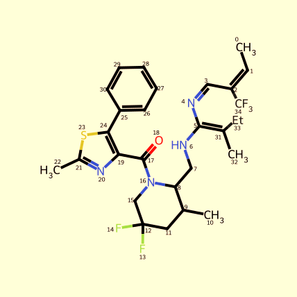 C\C=C(/C=N\C(NCC1C(C)CC(F)(F)CN1C(=O)c1nc(C)sc1-c1ccccc1)=C(\C)CC)C(F)(F)F